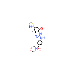 COc1cc(C2=NCCS2)c(C)c2cnc(Nc3ccc(C(=O)N4CCOCC4)cc3)nc12